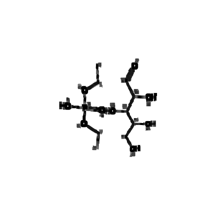 CCOP(=O)(O)OCC.O=CC(O)C(O)C(O)CO